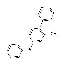 Cc1cc(Sc2ccccc2)ccc1-c1ccccc1